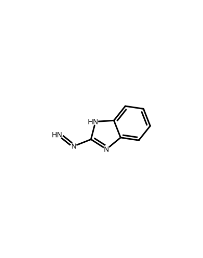 N=Nc1nc2ccccc2[nH]1